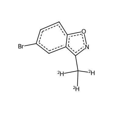 [2H]C([2H])([2H])c1noc2ccc(Br)cc12